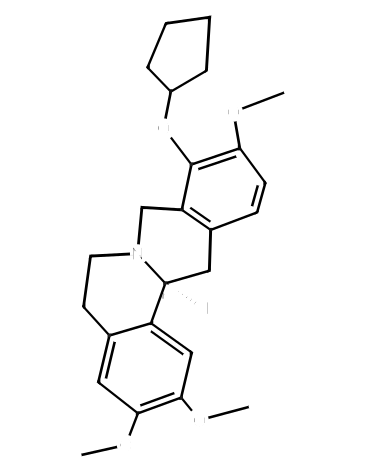 COc1cc2c(cc1OC)[C@@H]1Cc3ccc(OC)c(OC4CCCC4)c3CN1CC2